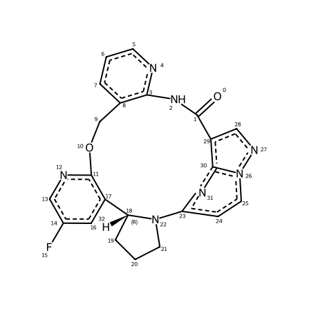 O=C1Nc2ncccc2COc2ncc(F)cc2[C@H]2CCCN2c2ccn3ncc1c3n2